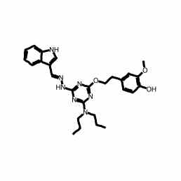 CCCN(CCC)c1nc(N/N=C/c2c[nH]c3ccccc23)nc(OCCc2ccc(O)c(OC)c2)n1